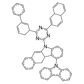 C1=CC2C=CC(c3nc(C4C=C(c5ccccc5)C=CC4)nc(N4C5=Cc6ccccc6CC5c5c4cccc5-n4c5ccccc5c5ccccc54)n3)=CC2C=C1